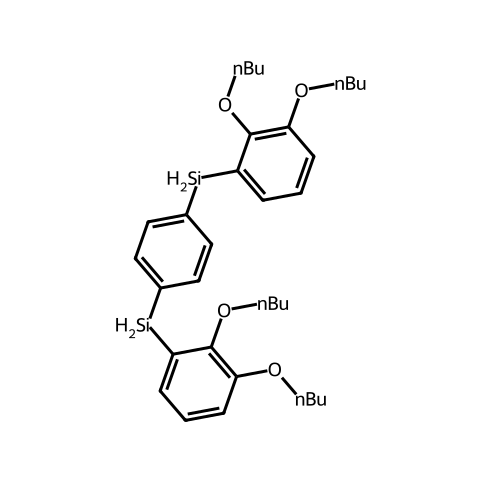 CCCCOc1cccc([SiH2]c2ccc([SiH2]c3cccc(OCCCC)c3OCCCC)cc2)c1OCCCC